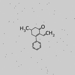 C=CC1=C(c2ccccc2)CC(C)CC1=O